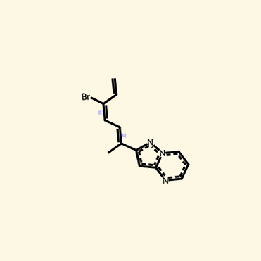 C=C/C(Br)=C\C=C(/C)c1cc2ncccn2n1